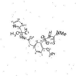 CCCOc1ccc(CC(=O)NC(C)(C)c2nccs2)cc1S(=O)(=O)NC(=S)NC